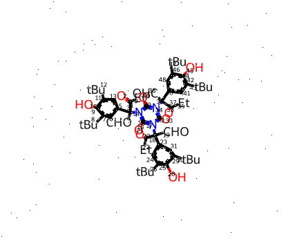 CCC(=O)C(C=O)(c1cc(C(C)(C)C)c(O)c(C(C)(C)C)c1)n1c(=O)n(C(C=O)(C(=O)CC)c2cc(C(C)(C)C)c(O)c(C(C)(C)C)c2)c(=O)n(C(C=O)(C(=O)CC)c2cc(C(C)(C)C)c(O)c(C(C)(C)C)c2)c1=O